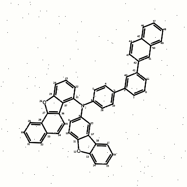 c1cc(-c2ccc(N(c3ccc4oc5ccccc5c4c3)c3cccc4oc5c6ccccc6ccc5c34)cc2)cc(-c2ccc3ccccc3c2)c1